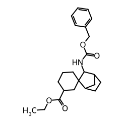 CCOC(=O)C1CCCC2(C1)C1CCC(C1)C2NC(=O)OCc1ccccc1